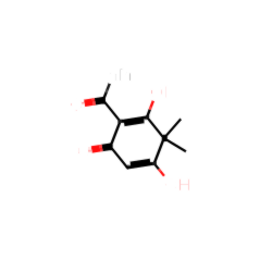 CCCC(=O)C1=C(O)C(C)(C)C(O)=CC1=O